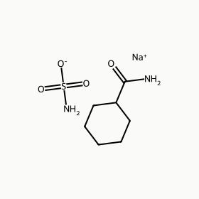 NC(=O)C1CCCCC1.NS(=O)(=O)[O-].[Na+]